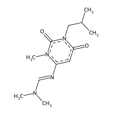 CC(C)Cn1c(=O)cc(N=CN(C)C)n(C)c1=O